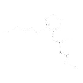 CCCCCCCCCCCCCCc1ccccc1OC(=O)CCOP